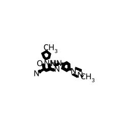 CC1CCC(n2c(=O)c(C#N)cc3cnc(Nc4ccc(N5CCN(C)CC5)cc4)nc32)CC1